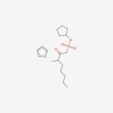 CCCCCC(C)C(=O)CS(=O)(=O)OC1CCCC1.c1ccsc1